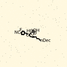 CCCCCCCCCCCCCCC#CCC(COP(=O)(O)O)OCc1ccc(C#N)c(F)c1